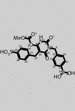 COC(=O)Oc1[nH]c(=O)n(Cc2ccc(B(O)O)cc2)c(=O)c1Cc1ccc(S(=O)(=O)O)cc1